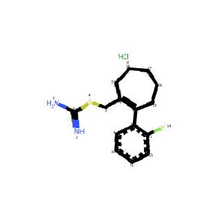 Cl.N=C(N)SCC1=C(c2ccccc2F)CCCCC1